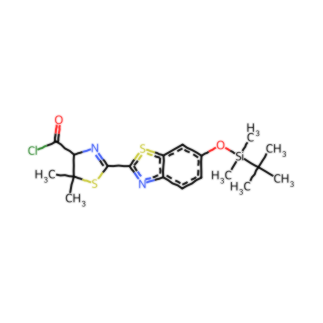 CC1(C)SC(c2nc3ccc(O[Si](C)(C)C(C)(C)C)cc3s2)=NC1C(=O)Cl